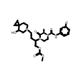 COC(=O)OCC(CCN1CCC2(CC2)C(O)C1)N1CCN(C(=O)Nc2cccc(Cl)c2)C(C)C1=O